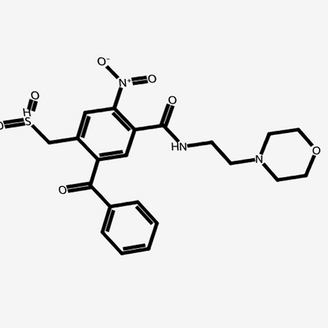 O=C(c1ccccc1)c1cc(C(=O)NCCN2CCOCC2)c([N+](=O)[O-])cc1C[SH](=O)=O